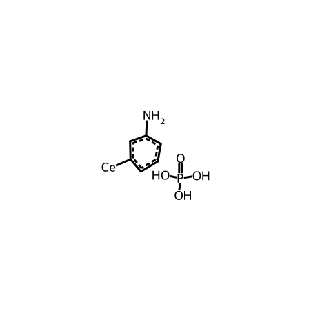 Nc1ccc[c]([Ce])c1.O=P(O)(O)O